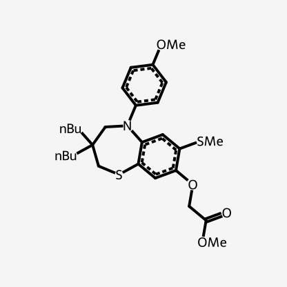 CCCCC1(CCCC)CSc2cc(OCC(=O)OC)c(SC)cc2N(c2ccc(OC)cc2)C1